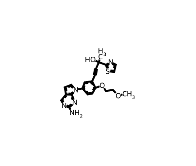 COCCOc1ccc(-n2ccc3cnc(N)nc32)cc1C#CC(C)(O)c1nccs1